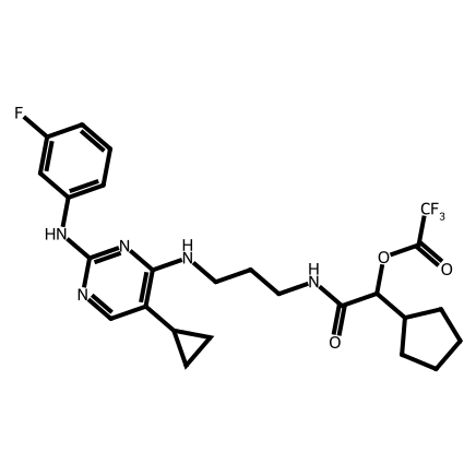 O=C(NCCCNc1nc(Nc2cccc(F)c2)ncc1C1CC1)C(OC(=O)C(F)(F)F)C1CCCC1